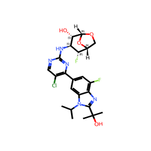 CC(C)n1c(C(C)(C)O)nc2c(F)cc(-c3nc(N[C@H]4[C@H](O)[C@@H]5OC[C@@H](O5)[C@@H]4F)ncc3Cl)cc21